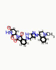 CN1CCC(n2cc(CNc3cccc4c3C(=O)N(C3CCC(=O)NC3=O)C4=O)cn2)c2ccccc21